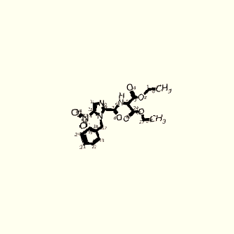 CCOC(=O)C(NC(=O)c1ncc([N+](=O)[O-])n1Cc1ccccc1)C(=O)OCC